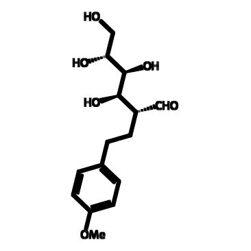 COc1ccc(CC[C@@H](C=O)[C@@H](O)[C@H](O)[C@H](O)CO)cc1